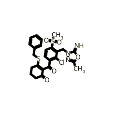 Cc1nn(Cc2c(S(C)(=O)=O)ccc(C(=O)C3=C(SCc4ccccc4)CCCC3=O)c2Cl)c(=N)o1